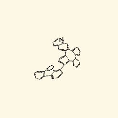 c1ccc2c(c1)-c1ccccc1-c1cc3ncccc3cc1-c1ccc(-c3cccc4c3oc3ccccc34)cc1-2